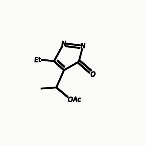 CCC1=C(C(C)OC(C)=O)C(=O)N=N1